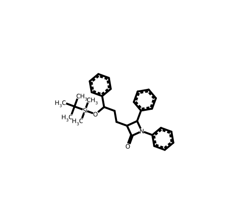 CC(C)(C)[Si](C)(C)OC(CCC1C(=O)N(c2ccccc2)C1c1ccccc1)c1ccccc1